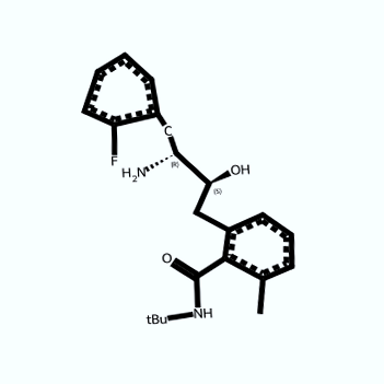 Cc1cccc(C[C@H](O)[C@H](N)Cc2ccccc2F)c1C(=O)NC(C)(C)C